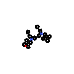 c1ccc(-c2ccc3c(c2)c2cc(-c4ccc5c(c4)c4cc(-c6ccccc6)ccc4n5-c4ccc5c(c4)C4(c6ccccc6-c6ccccc64)c4ccccc4-5)ccc2n3-c2ccc3c(c2)C2(c4ccccc4-c4ccccc42)c2ccccc2-3)cc1